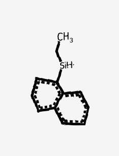 CC[SiH]c1cccc2ccccc12